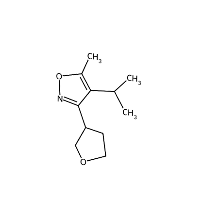 Cc1onc(C2CCOC2)c1C(C)C